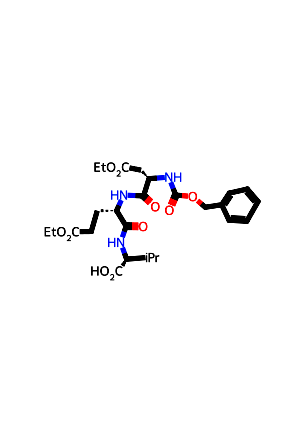 CCOC(=O)CC[C@H](NC(=O)[C@H](CC(=O)OCC)NC(=O)OCc1ccccc1)C(=O)N[C@H](C(=O)O)C(C)C